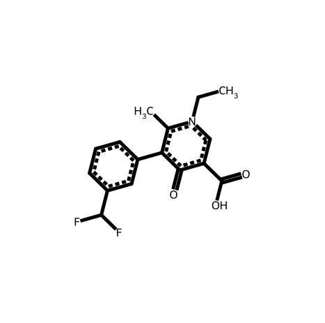 CCn1cc(C(=O)O)c(=O)c(-c2cccc(C(F)F)c2)c1C